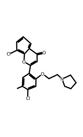 Cc1cc(-c2cc(=O)c3cccc(Cl)c3o2)c(OCCN2CCCC2)cc1Cl